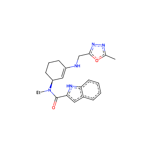 CCN(C(=O)c1cc2ccccc2[nH]1)[C@@H]1C=C(NCc2nnc(C)o2)CCC1